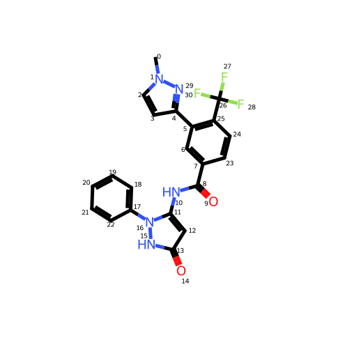 Cn1ccc(-c2cc(C(=O)Nc3cc(=O)[nH]n3-c3ccccc3)ccc2C(F)(F)F)n1